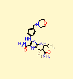 CC(Nc1cnc(C(N)=O)c(Nc2ccc(CN3CCOCC3)cc2)n1)C(C)C(N)=O